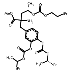 COC(=O)C(N)(Cc1ccc(OC(=O)O[C@@H](C)C(C)C)c(OC(=O)OC(C)C(C)C)c1)C[C@H](C)OC(=O)OCCC(C)C